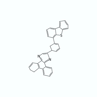 C1=CC(c2cnc3c4c(c5ccccc5c3n2)CCC=C4)CC(c2cccc3c2sc2ccccc23)=C1